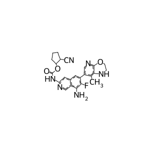 Cc1c(-c2cc3cc(NC(=O)OC4CCCC4C#N)ncc3c(N)c2F)cnc2c1NCCO2